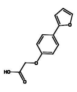 O=C(O)COc1ccc(-c2ccco2)cc1